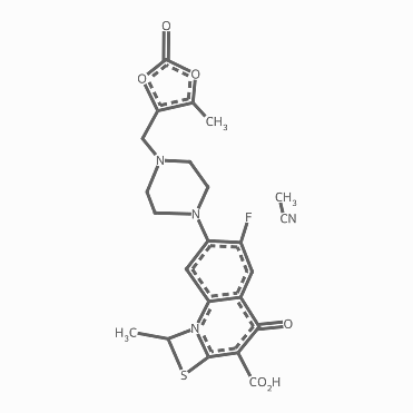 CC#N.Cc1oc(=O)oc1CN1CCN(c2cc3c(cc2F)c(=O)c(C(=O)O)c2n3C(C)S2)CC1